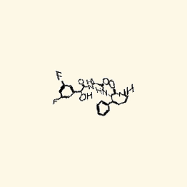 C[C@H](NC(=O)[C@H](O)c1cc(F)cc(F)c1)C(=O)N[C@@H]1C(=O)NCCC=C1c1ccccc1